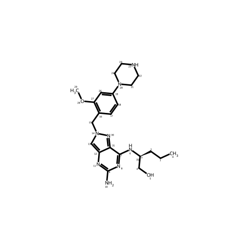 CCC[C@@H](CO)Nc1nc(N)nc2cn(Cc3ccc(N4CCNCC4)cc3OC)nc12